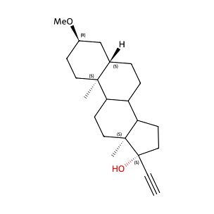 C#C[C@]1(O)CCC2C3CC[C@H]4C[C@H](OC)CC[C@]4(C)C3CC[C@@]21C